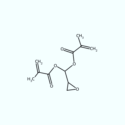 C=C(C)C(=O)OC(OC(=O)C(=C)C)C1CO1